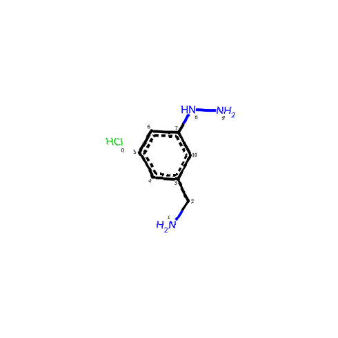 Cl.NCc1cccc(NN)c1